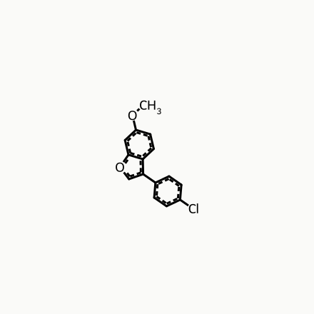 COc1ccc2c(-c3ccc(Cl)cc3)coc2c1